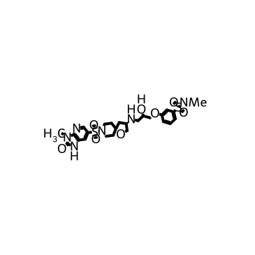 CNS(=O)(=O)c1cccc(OCC(O)CN[C@H]2COC3(CCN(S(=O)(=O)c4cnc5c(c4)[nH]c(=O)n5C)CC3)C2)c1